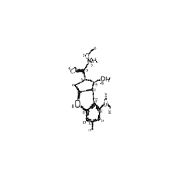 CONC(=O)[C@@H]1CC2Oc3cc(C)cc(OC)c3C2[C@@H]1O